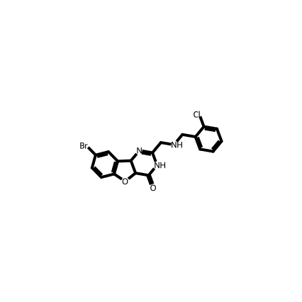 O=C1NC(CNCc2ccccc2Cl)=NC2c3cc(Br)ccc3OC12